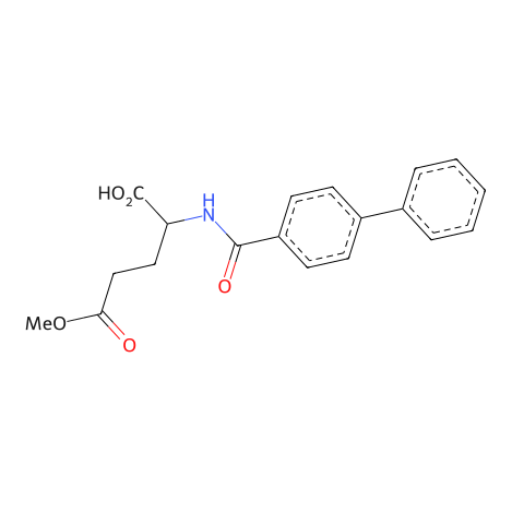 COC(=O)CCC(NC(=O)c1ccc(-c2ccccc2)cc1)C(=O)O